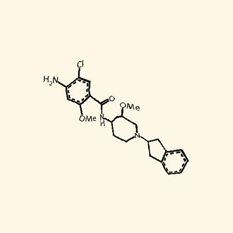 COc1cc(N)c(Cl)cc1C(=O)NC1CCN(C2Cc3ccccc3C2)CC1OC